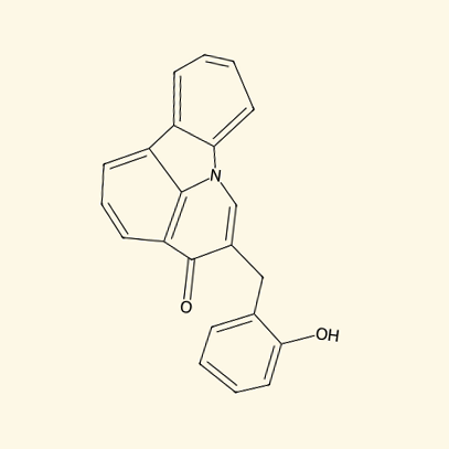 O=c1c(Cc2ccccc2O)cn2c3ccccc3c3cccc1c32